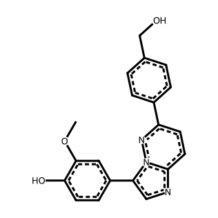 COc1cc(-c2cnc3ccc(-c4ccc(CO)cc4)nn23)ccc1O